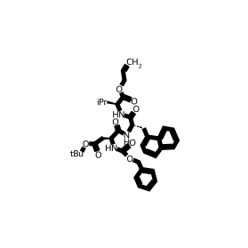 C=CCOC(=O)[C@@H](NC(=O)[C@H](Cc1cccc2ccccc12)NC(=O)[C@H](CC(=O)OC(C)(C)C)NC(=O)OCc1ccccc1)C(C)C